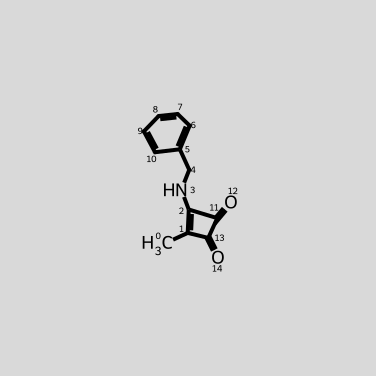 Cc1c(NCc2ccccc2)c(=O)c1=O